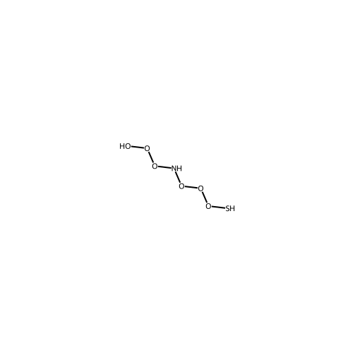 OOONOOOS